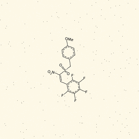 COc1ccc(CS(=O)(=O)/C(=C\c2c(F)c(F)c(F)c(F)c2F)[N+](=O)[O-])cc1